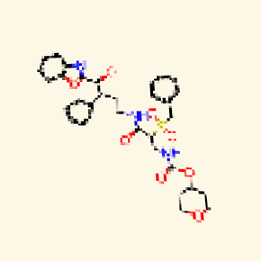 O=C(NCC(C(=O)NCCC(C(=O)c1nc2ccccc2o1)c1ccccc1)S(=O)(=O)Cc1ccccc1)OC1CCOCC1